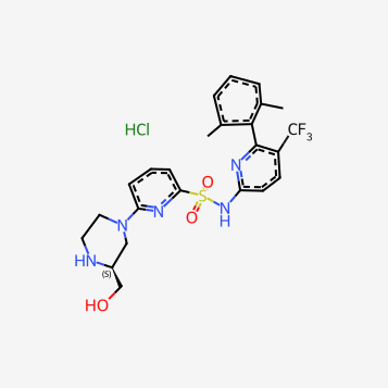 Cc1cccc(C)c1-c1nc(NS(=O)(=O)c2cccc(N3CCN[C@H](CO)C3)n2)ccc1C(F)(F)F.Cl